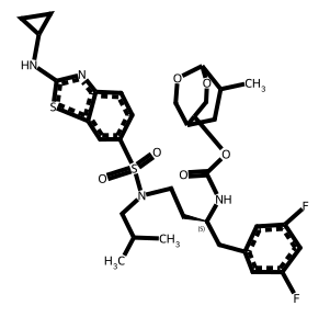 CC(C)CN(CC[C@H](Cc1cc(F)cc(F)c1)NC(=O)OC1COC2OCC1CC2C)S(=O)(=O)c1ccc2nc(NC3CC3)sc2c1